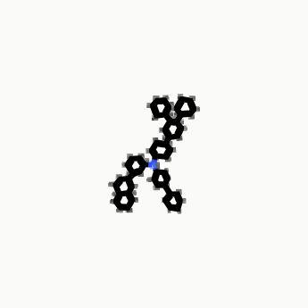 c1ccc(-c2ccc(N(c3ccc(-c4ccc(-c5ccccc5)c(-c5ccccc5)c4)cc3)c3cccc(-c4ccc5ccccc5c4)c3)cc2)cc1